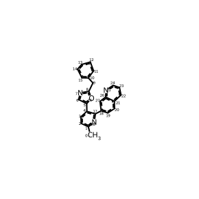 Cc1ccc(-c2cnc(Cc3ccccc3)o2)c(-c2ccc3cccnc3c2)n1